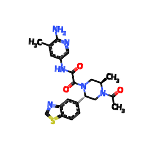 CC(=O)N1C[C@H](c2ccc3scnc3c2)N(C(=O)C(=O)Nc2cnc(N)c(C)c2)C[C@H]1C